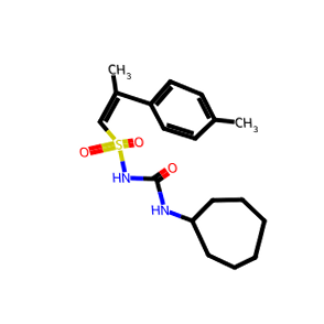 CC(=CS(=O)(=O)NC(=O)NC1CCCCCC1)c1ccc(C)cc1